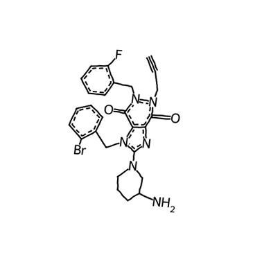 C#CCn1c(=O)c2nc(N3CCCC(N)C3)n(Cc3ccccc3Br)c2c(=O)n1Cc1ccccc1F